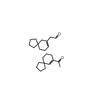 CC(=O)C1=CC2(CCCC2)CCC1.O=CCC1=CCCC2(CCCC2)C1